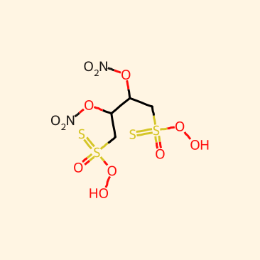 O=[N+]([O-])OC(CS(=O)(=S)OO)C(CS(=O)(=S)OO)O[N+](=O)[O-]